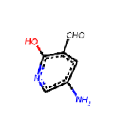 Nc1cnc(O)c(C=O)c1